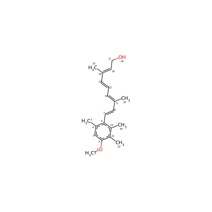 COc1cc(C)c(C=CC(C)=CC=CC(C)=CCO)c(C)c1C